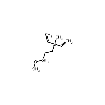 C=C[Si](C)(C=C)CC[SiH2]O[SiH3]